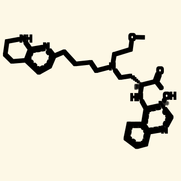 COCCN(CCCCc1ccc2c(n1)NCCC2)CC[C@@H](Nc1c2ccccc2nc[n+]1O)C(C)=O